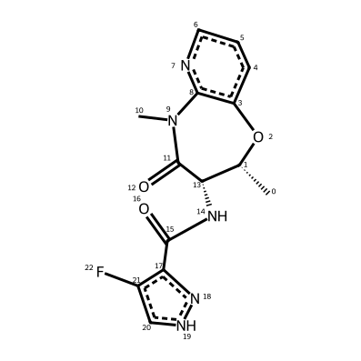 C[C@H]1Oc2cccnc2N(C)C(=O)[C@H]1NC(=O)c1n[nH]cc1F